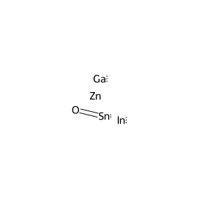 [Ga].[In].[O]=[Sn].[Zn]